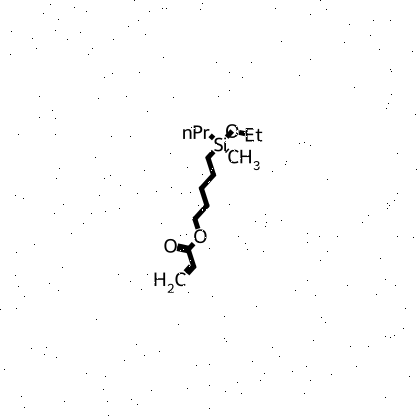 C=CC(=O)OCCCCC[Si](C)(CCC)OCC